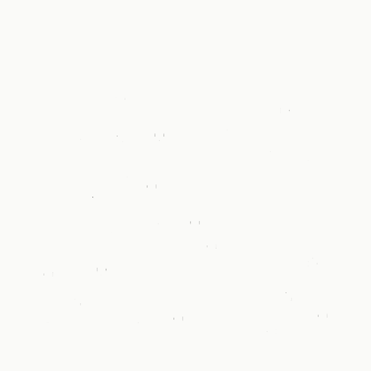 CCCOS(=O)(=O)CCOP(=O)(CP(=O)(OC1(C)COS(=O)(=O)C1)OC1(C)COS(=O)(=O)C1)OC1(C)COS(=O)(=O)C1